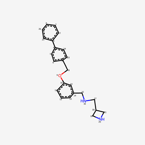 c1ccc(-c2ccc(COc3cccc(CNCC4CNC4)c3)cc2)cc1